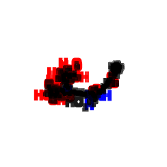 O.O.O=C(O)C[C@H](NC(=O)CCCCC(=O)OCc1ccccc1)C(=O)NCCCCCC(=O)N(CC[C@H]1O[C@H](CO)[C@@H](O)[C@H](O)[C@@H]1O)CC[C@H]1O[C@H](CO)[C@@H](O)[C@H](O)[C@@H]1O